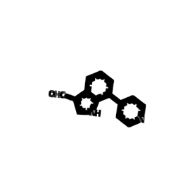 O=Cc1c[nH]c2c(-c3ccncc3)cccc12